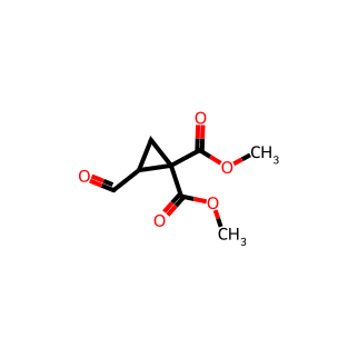 COC(=O)C1(C(=O)OC)CC1C=O